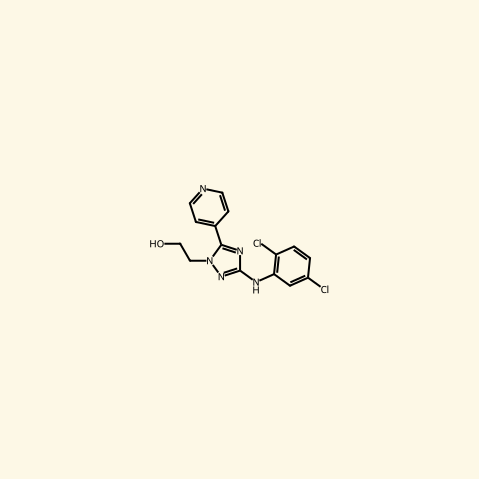 OCCn1nc(Nc2cc(Cl)ccc2Cl)nc1-c1ccncc1